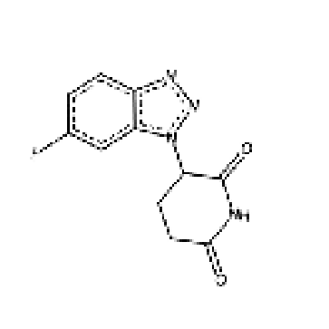 O=C1CCC(n2nnc3ccc(F)cc32)C(=O)N1